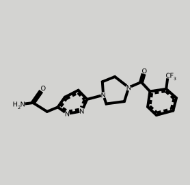 NC(=O)Cc1ccc(N2CCN(C(=O)c3ccccc3C(F)(F)F)CC2)nn1